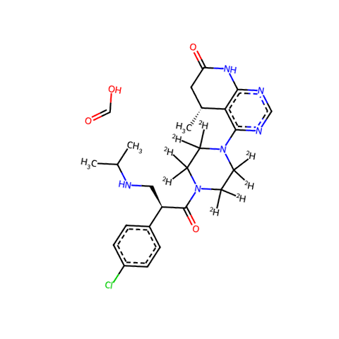 O=CO.[2H]C1([2H])N(C(=O)[C@H](CNC(C)C)c2ccc(Cl)cc2)C([2H])([2H])C([2H])([2H])N(c2ncnc3c2[C@H](C)CC(=O)N3)C1([2H])[2H]